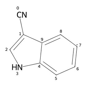 N#Cc1c[nH]c2cc[c]cc12